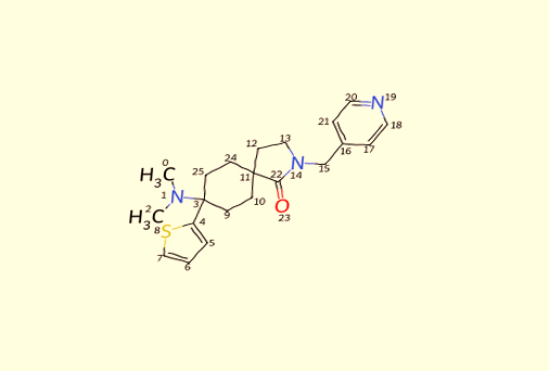 CN(C)C1(c2cccs2)CCC2(CCN(Cc3ccncc3)C2=O)CC1